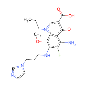 CCCn1cc(C(=O)O)c(=O)c2c(N)c(F)c(NCCCn3ccnc3)c(OC)c21